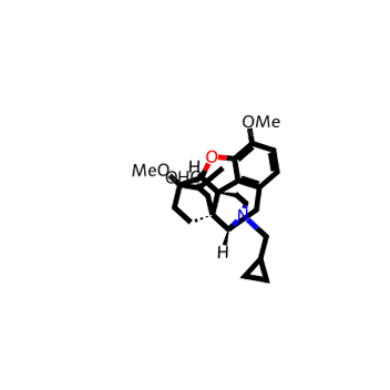 COc1ccc2c3c1O[C@H]1C4(OC)CC[C@@]5(C[C@]4(C)C=O)[C@@H](C2)N(CC2CC2)CC[C@]315